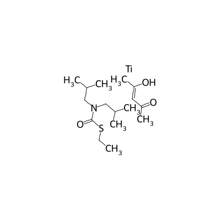 CC(=O)/C=C(/C)O.CCSC(=O)N(CC(C)C)CC(C)C.[Ti]